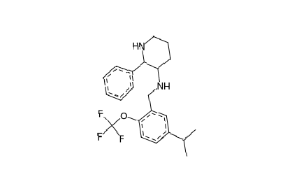 CC(C)c1ccc(OC(F)(F)F)c(CNC2CCCNC2c2ccccc2)c1